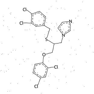 Clc1ccc(OCC(Cn2ccnc2)SCc2ccc(Cl)c(Cl)c2)c(Cl)c1